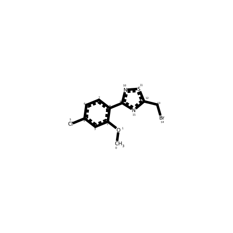 COc1cc(Cl)ccc1-c1nsc(CBr)n1